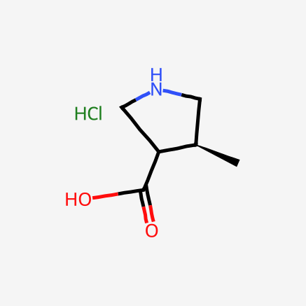 C[C@@H]1CNCC1C(=O)O.Cl